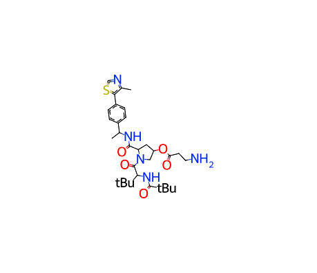 Cc1ncsc1-c1ccc(C(C)NC(=O)C2CC(OC(=O)CCN)CN2C(=O)C(NC(=O)C(C)(C)C)C(C)(C)C)cc1